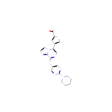 NC(=O)c1cc(-c2cnc(Nc3cnc(N4CCCCC4)nc3)c3nccn23)co1